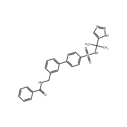 CC(C)(NS(=O)(=O)c1ccc(-c2cccc(CNC(=O)c3ccccc3)c2)cc1)c1cnn[nH]1